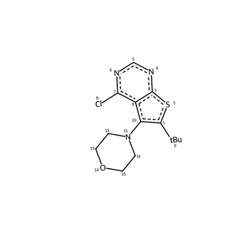 CC(C)(C)c1sc2ncnc(Cl)c2c1N1CCOCC1